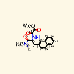 COC(=O)C(=O)NC(Cc1ccc2ccccc2c1)C(=O)N(C)C#N